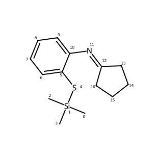 C[Si](C)(C)Sc1ccccc1N=C1CCCC1